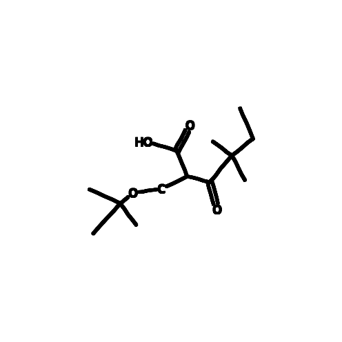 CCC(C)(C)C(=O)C(COC(C)(C)C)C(=O)O